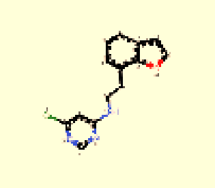 Clc1cc(NCCc2cccc3ccoc23)ncn1